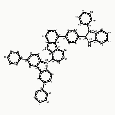 c1ccc(-c2ccc3c(c2)c2cc(-c4ccccc4)ccc2n3-c2cccc3c2oc2cccc(-c4ccc(C5Nc6ccccc6N5c5ccccc5)cc4)c23)cc1